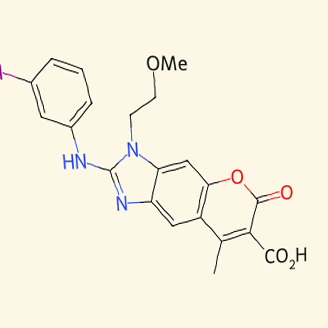 COCCn1c(Nc2cccc(I)c2)nc2cc3c(C)c(C(=O)O)c(=O)oc3cc21